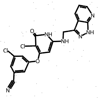 N#Cc1cc(Cl)cc(Oc2cc(NCc3n[nH]c4ncccc34)[nH]c(=O)c2Cl)c1